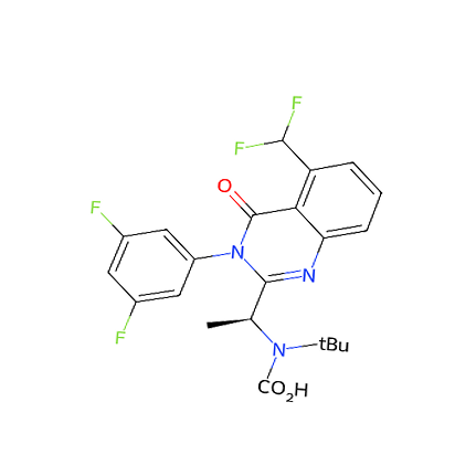 C[C@@H](c1nc2cccc(C(F)F)c2c(=O)n1-c1cc(F)cc(F)c1)N(C(=O)O)C(C)(C)C